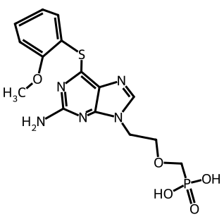 COc1ccccc1Sc1nc(N)nc2c1ncn2CCOCP(=O)(O)O